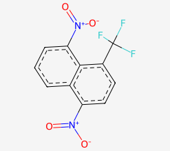 O=[N+]([O-])c1ccc(C(F)(F)F)c2c([N+](=O)[O-])cccc12